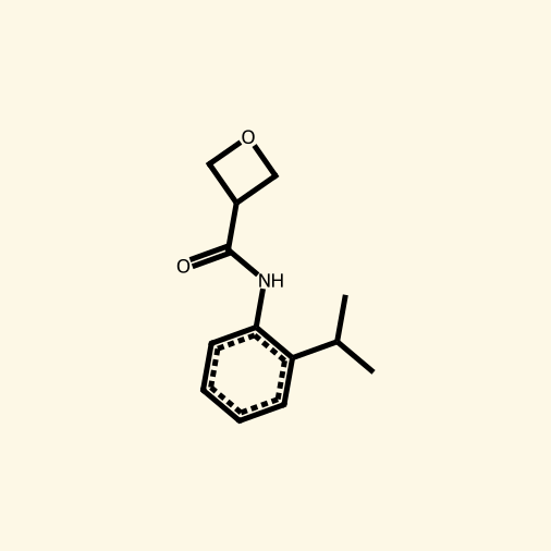 CC(C)c1ccccc1NC(=O)C1COC1